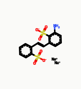 Nc1cccc(C=Cc2ccccc2S(=O)(=O)[O-])c1S(=O)(=O)[O-].[Na+].[Na+]